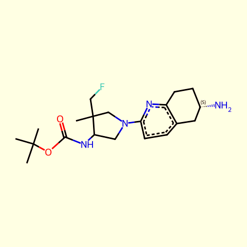 CC(C)(C)OC(=O)NC1CN(c2ccc3c(n2)CC[C@H](N)C3)CC1(C)CF